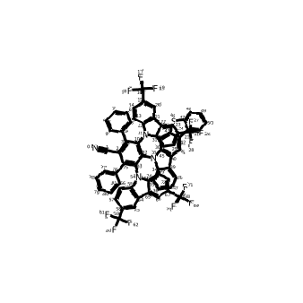 N#Cc1c(-c2ccccc2)c(-n2c3ccc(C(F)(F)F)cc3c3cc(C(F)(F)F)ccc32)c(-n2c3ccccc3c3cc4c(cc32)sc2ccccc24)c(-n2c3ccc(C(F)(F)F)cc3c3cc(C(F)(F)F)ccc32)c1-c1ccccc1